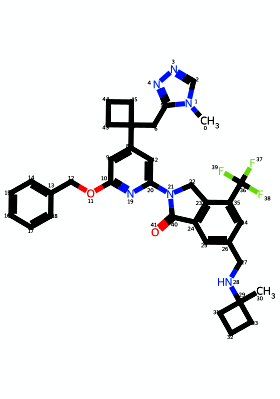 Cn1cnnc1CC1(c2cc(OCc3ccccc3)nc(N3Cc4c(cc(CNC5(C)CCC5)cc4C(F)(F)F)C3=O)c2)CCC1